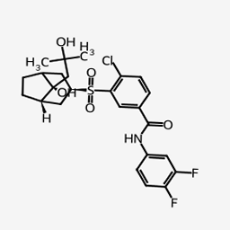 CC(C)(O)C[C@@]1(O)C2CC[C@H]1C[C@H](S(=O)(=O)c1cc(C(=O)Nc3ccc(F)c(F)c3)ccc1Cl)C2